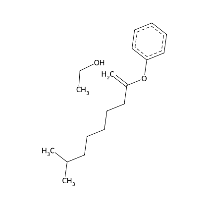 C=C(CCCCCC(C)C)Oc1ccccc1.CCO